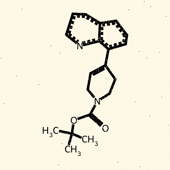 CC(C)(C)OC(=O)N1CC=C(c2cccc3cccnc23)CC1